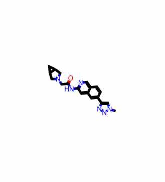 Cn1cc(-c2ccc3cnc(NC(=O)CN4CC5CC5C4)cc3c2)nn1